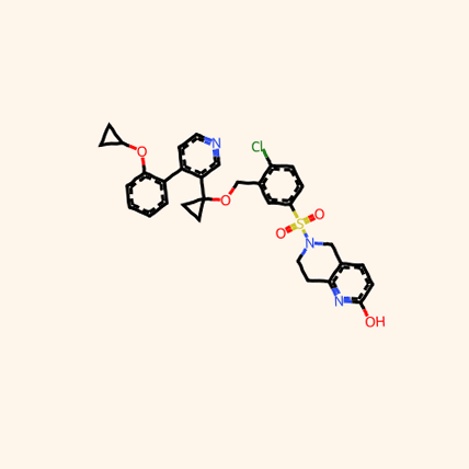 O=S(=O)(c1ccc(Cl)c(COC2(c3cnccc3-c3ccccc3OC3CC3)CC2)c1)N1CCc2nc(O)ccc2C1